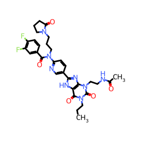 CCCn1c(=O)c2[nH]c(-c3ccc(N(CCCN4CCCC4=O)C(=O)c4ccc(F)c(F)c4)nc3)nc2n(CCNC(C)=O)c1=O